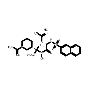 CCOC(=O)C(C)([C@H]1CCCN(C(=N)N)C1)N(C)C(=O)[C@H](CC(N)=O)NS(=O)(=O)c1ccc2ccccc2c1.Cl